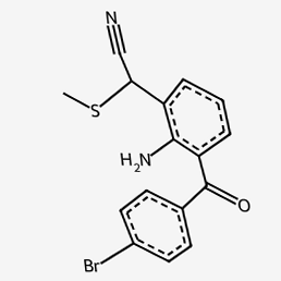 CSC(C#N)c1cccc(C(=O)c2ccc(Br)cc2)c1N